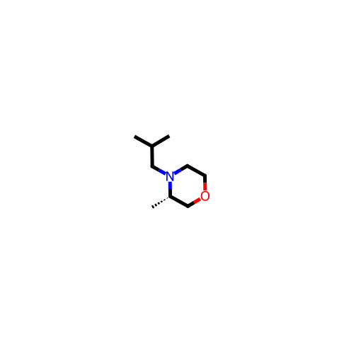 CC(C)CN1CCOC[C@@H]1C